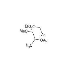 CCOC(=O)CC(C)=O.COCC(C)OC(C)=O